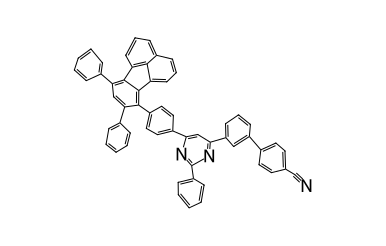 N#Cc1ccc(-c2cccc(-c3cc(-c4ccc(-c5c(-c6ccccc6)cc(-c6ccccc6)c6c5-c5cccc7cccc-6c57)cc4)nc(-c4ccccc4)n3)c2)cc1